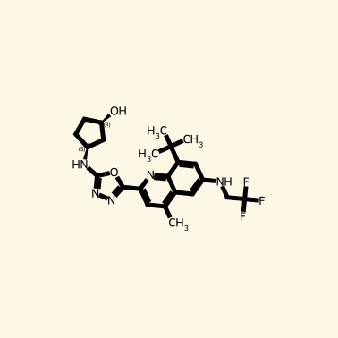 Cc1cc(-c2nnc(N[C@H]3CC[C@@H](O)C3)o2)nc2c(C(C)(C)C)cc(NCC(F)(F)F)cc12